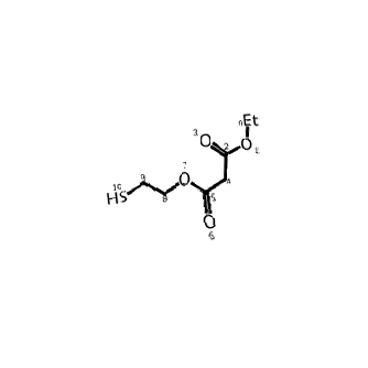 CCOC(=O)CC(=O)OCCS